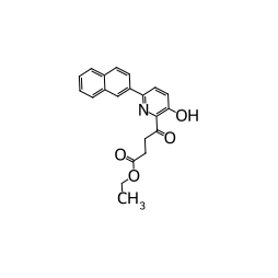 CCOC(=O)CCC(=O)c1nc(-c2ccc3ccccc3c2)ccc1O